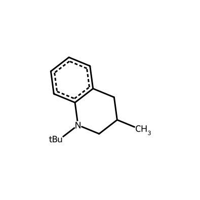 CC1Cc2ccccc2N(C(C)(C)C)C1